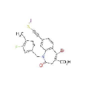 Cc1ccc(CN2C(=O)CC(C(=O)O)=C(Br)c3ccc(C#CSI)cc32)cc1F